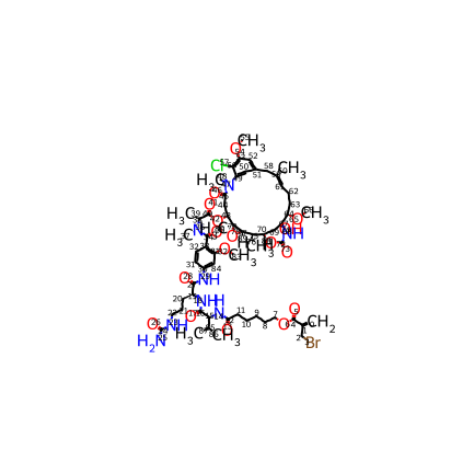 C=C(CBr)C(=O)OCCCCCC(=O)N[C@H](C(=O)N[C@@H](CCCNC(N)=O)C(=O)Nc1ccc(C(=O)N(C)[C@@H](C)C(=O)O[C@H]2CC(=O)N(C)c3cc(cc(OC)c3Cl)C/C(C)=C/CC[C@@H](OC)[C@@]3(O)C[C@H](OC(=O)N3)[C@@H](C)[C@@H]3O[C@@]23C)c(OC)c1)C(C)C